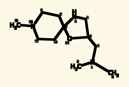 CN(C)CC1CNC2(CCN(C)CC2)O1